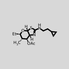 CC[C@H]1O[C@@H]2SC(NCCC3CC3)=N[C@@H]2[C@@H](OC(C)=O)[C@@H]1C